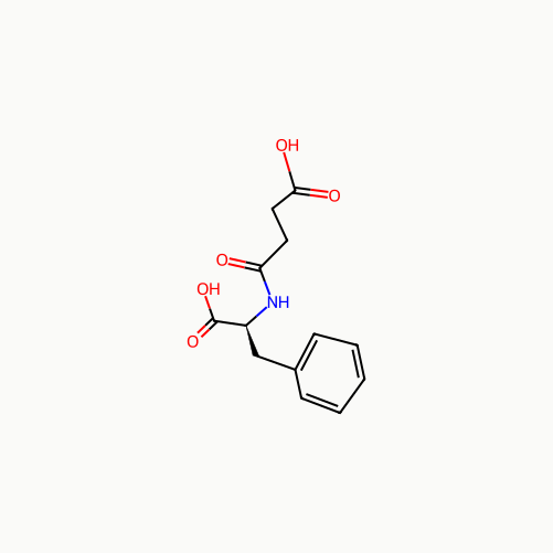 O=C(O)CCC(=O)N[C@@H](Cc1ccccc1)C(=O)O